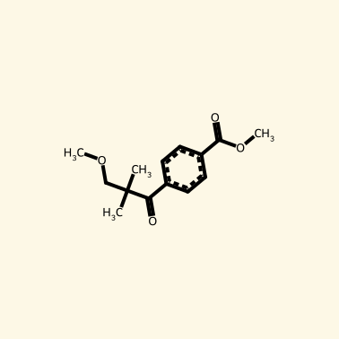 COCC(C)(C)C(=O)c1ccc(C(=O)OC)cc1